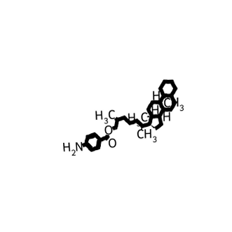 CC(CCC[C@@H](C)[C@H]1CC[C@H]2[C@@H]3CCC4CCCC[C@]4(C)[C@H]3CC[C@]12C)COC(=O)c1ccc(N)cc1